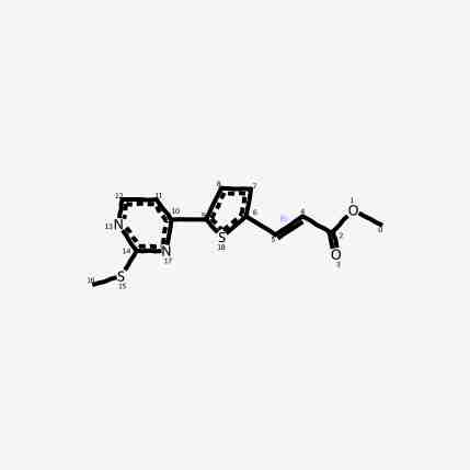 COC(=O)/C=C/c1ccc(-c2ccnc(SC)n2)s1